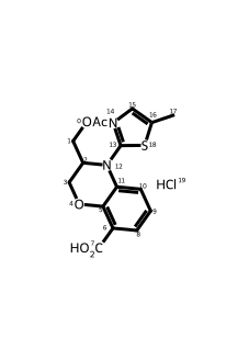 CC(=O)OCC1COc2c(C(=O)O)cccc2N1c1ncc(C)s1.Cl